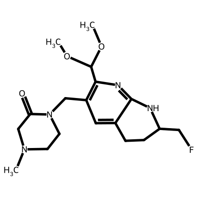 COC(OC)c1nc2c(cc1CN1CCN(C)CC1=O)CCC(CF)N2